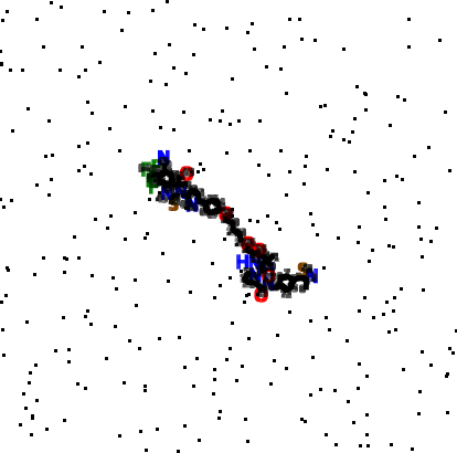 Cc1ncsc1-c1ccc(CNC(=O)C2CCCN2C(=O)C(NC(=O)COCCCCCOc2ccc(-c3ccc(N(C(=S)N(C)c4ccc(C#N)c(C(F)(F)F)c4F)C(C)(C)C=O)cn3)cc2)C(C)(C)C)cc1